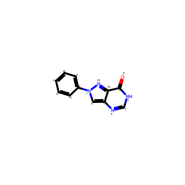 O=c1[nH]cnc2cn(-c3ccccc3)nc12